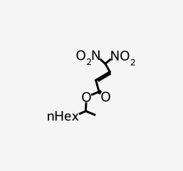 CCCCCCC(C)OC(=O)/C=C/C([N+](=O)[O-])[N+](=O)[O-]